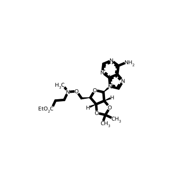 CCOC(=O)CCN(C)OC[C@H]1O[C@@H](n2cnc3c(N)ncnc32)[C@@H]2OC(C)(C)O[C@@H]21